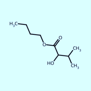 CCCCOC(=O)C(O)C(C)C